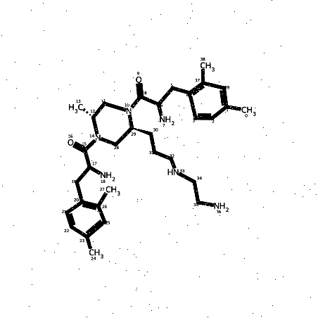 Cc1ccc(CC(N)C(=O)N2C[C@@H](C)N(C(=O)C(N)Cc3ccc(C)cc3C)C[C@@H]2CCCNCCN)c(C)c1